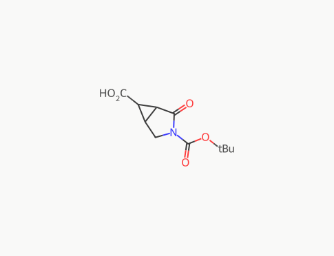 CC(C)(C)OC(=O)N1CC2C(C(=O)O)C2C1=O